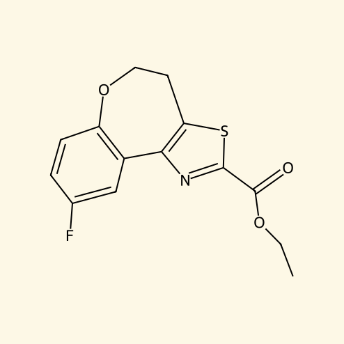 CCOC(=O)c1nc2c(s1)CCOc1ccc(F)cc1-2